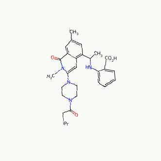 Cc1cc(C(C)Nc2ccccc2C(=O)O)c2cc(N3CCN(C(=O)CC(C)C)CC3)n(C)c(=O)c2c1